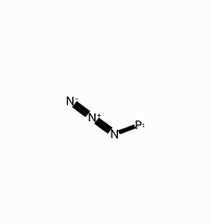 [N-]=[N+]=N[P]